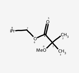 COC(C)(C)C(=O)OCC(C)C